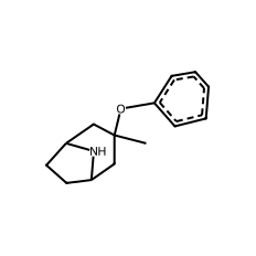 CC1(Oc2ccccc2)CC2CCC(C1)N2